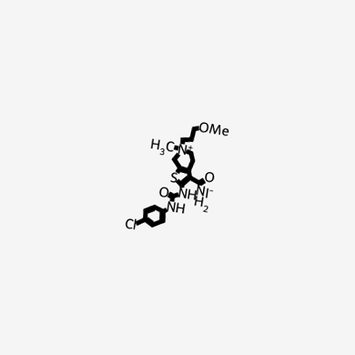 COCCC[N+]1(C)CCc2c(sc(NC(=O)Nc3ccc(Cl)cc3)c2C(N)=O)C1.[I-]